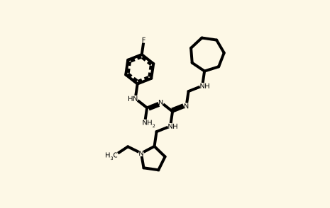 CCN1CCCC1CNC(=N/CNC1CCCCCC1)/N=C(\N)Nc1ccc(F)cc1